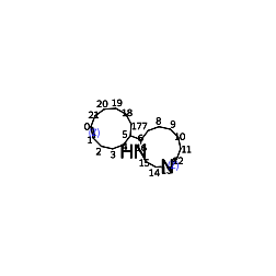 C1=C\CCCC(C2CCCCC/C=N\CCN2)CCCCC/1